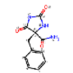 NC(=O)[C@@]1(Cc2ccccc2)NC(=O)[N]C1=O